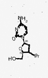 CC(C)C1C[C@H](n2ccc(N)nc2=O)O[C@@H]1CO